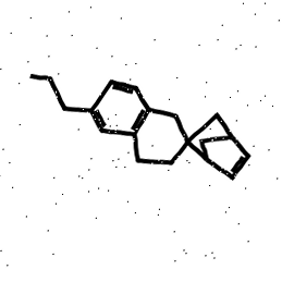 CCCc1ccc2c(c1)CCC1(C2)CC2C=CC1C2